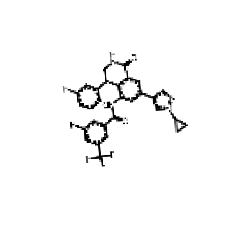 O=C(Nc1cc(-c2cnn(C3CC3)c2)cc2c1C(c1cc(F)ccc1Cl)CNC2=O)c1cc(F)cc(C(F)(F)F)c1